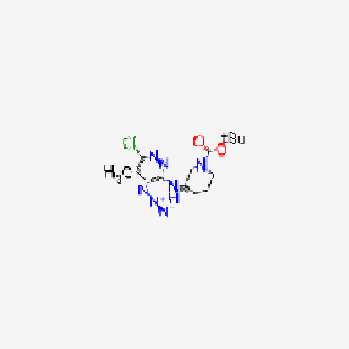 Cc1c(Cl)nnc(N[C@@H]2CCCN(C(=O)OC(C)(C)C)C2)c1N=[N+]=[N-]